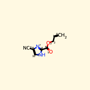 C=CCOC(=O)c1nc(C#N)c[nH]1